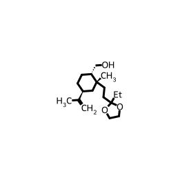 C=C(C)[C@H]1CC[C@H](CO)[C@](C)(CCC2(CC)OCCO2)C1